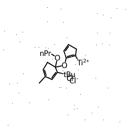 CCCOC1(OC2=[C]([Ti+2])CC=C2)CC=C(C)C=C1C(C)(C)C.[Cl-].[Cl-]